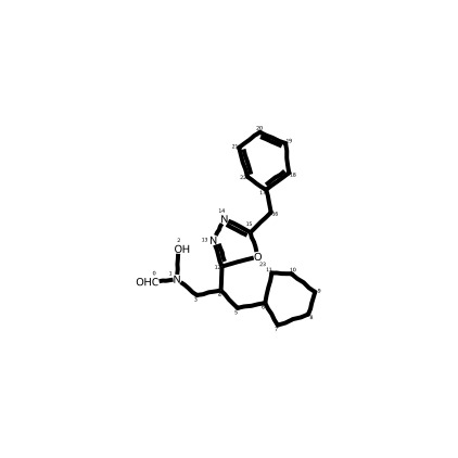 O=CN(O)CC(CC1CCCCC1)c1nnc(Cc2ccccc2)o1